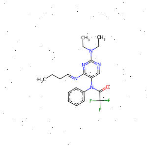 [CH2]CCC=Nc1nc(N(CC)CC)ncc1N(C(=O)C(F)(F)F)c1ccccc1